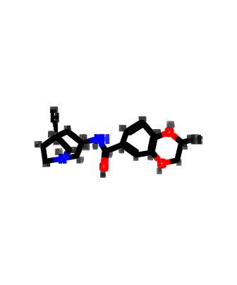 CCC1COc2cc(C(=O)N[C@@H]3C[C@@H]4CCN(C4)C3)ccc2O1